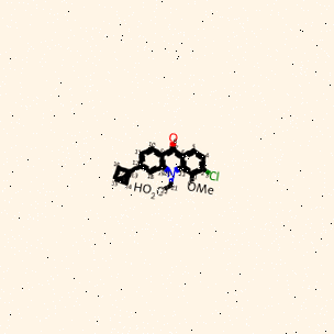 COc1c(Cl)ccc2c(=O)c3ccc(C45CC(C4)C5)cc3n(CC(=O)O)c12